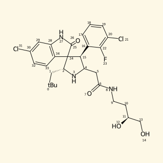 CC(C)(C)C[C@H]1NC(CC(=O)NCC[C@H](O)CO)[C@H](c2cccc(Cl)c2F)C12C(=O)Nc1cc(Cl)ccc12